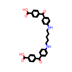 O=C(O)c1ccc(C(=O)c2ccc(NCCCCCNc3ccc(C(=O)c4ccc(C(=O)O)cc4)cc3)cc2)cc1